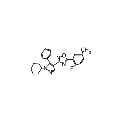 Cc1ccc(F)c(-c2nc(-c3cnn(C4CCCCC4)c3-c3ccccc3)no2)c1